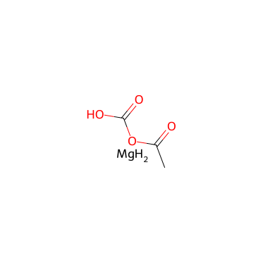 CC(=O)OC(=O)O.[MgH2]